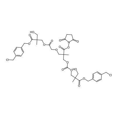 CC(CO)(COC(=O)COCC(C)(COC(=O)OCC(C)(CO)C(=O)OCc1ccc(CCl)cc1)C(=O)ON1C(=O)CCC1=O)C(=O)OCc1ccc(CCl)cc1